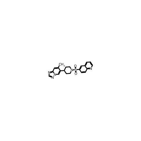 Cc1cc2ncnn2cc1C1CCN(S(=O)(=O)c2ccc3ncccc3c2)CC1